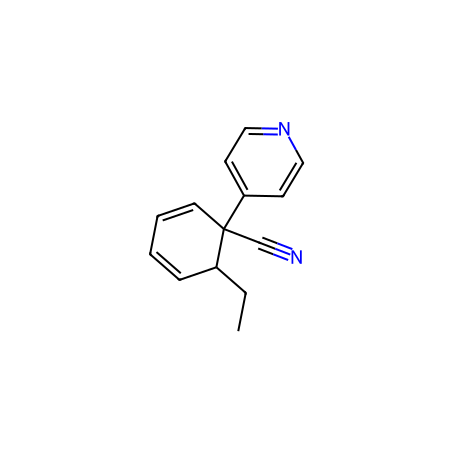 CCC1C=CC=CC1(C#N)c1ccncc1